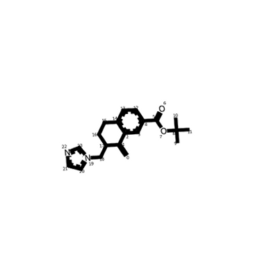 C=C1c2cc(C(=O)OC(C)(C)C)ccc2CCC1Cn1ccnc1